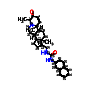 CC1C(=O)C=C[C@]2(C)[C@@H]3CC[C@]4(C)C(CNC(=O)Nc5ccc6ccccc6c5)CC[C@H]4[C@@H]3CCN12